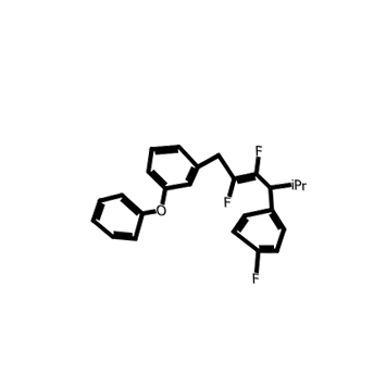 CC(C)C(C(F)=C(F)Cc1cccc(Oc2ccccc2)c1)c1ccc(F)cc1